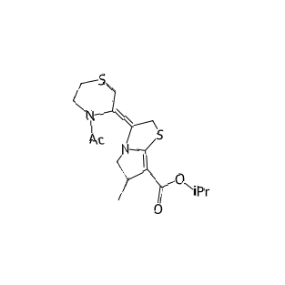 CC(=O)N1CCSCC1=C1CSC2=C(C(=O)OC(C)C)C(C)CN12